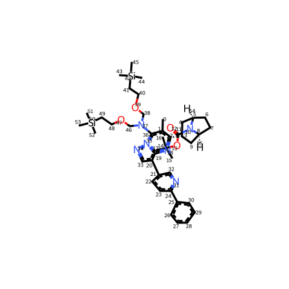 Cc1c([C@@H]2C[C@H]3CC[C@@H](C2)N3C(=O)OC(C)(C)C)nc2c(-c3ccc(-c4ccccc4)nc3)cnn2c1N(COCC[Si](C)(C)C)COCC[Si](C)(C)C